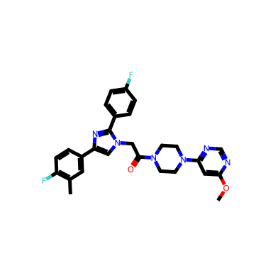 COc1cc(N2CCN(C(=O)Cn3cc(-c4ccc(F)c(C)c4)nc3-c3ccc(F)cc3)CC2)ncn1